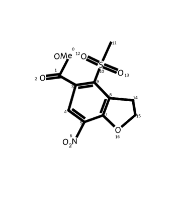 COC(=O)c1cc([N+](=O)[O-])c2c(c1S(C)(=O)=O)CCO2